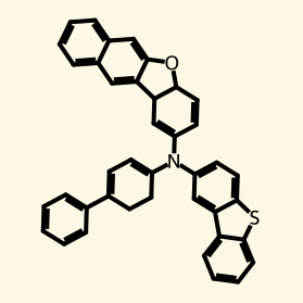 C1=CC2Oc3cc4ccccc4cc3C2C=C1N(C1=CC=C(c2ccccc2)CC1)c1ccc2sc3ccccc3c2c1